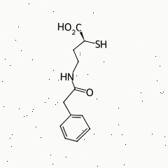 O=C(Cc1ccccc1)NCC[C@H](S)C(=O)O